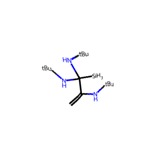 C=C(NC(C)(C)C)C([SiH3])(NC(C)(C)C)NC(C)(C)C